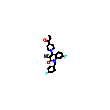 C=CC(=O)C1CCN(c2c(C#N)c(=O)n(Cc3ccc(F)cc3)c3cc(F)ccc23)CC1